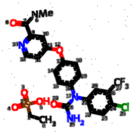 CCS(=O)(=O)O.CNC(=O)c1cc(Oc2ccc(N(C(N)=O)c3ccc(Cl)c(C(F)(F)F)c3)cc2)ccn1